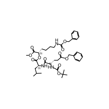 COC(=O)[C@H](CCCCNC(=O)OCc1ccccc1)OC(=O)[C@H](CC(C)C)NC(=O)[C@H](CCC(=O)OCc1ccccc1)NC(=O)OC(C)(C)C